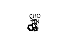 O=CSc1cnc2n1C1=CC=CCC13C=CC=CN23